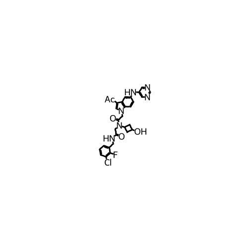 CC(=O)c1cn(CC(=O)N(CC(=O)NCc2cccc(Cl)c2F)C2CC(O)C2)c2ccc(Nc3cncnc3)cc12